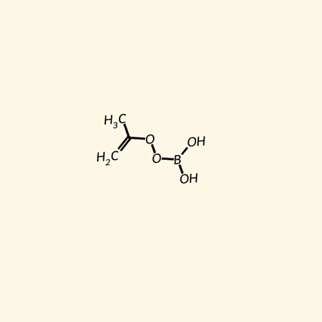 C=C(C)OOB(O)O